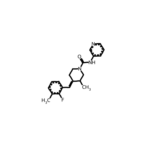 Cc1cccc(/C=C2\CCN(C(=O)Nc3cccnc3)CC2C)c1F